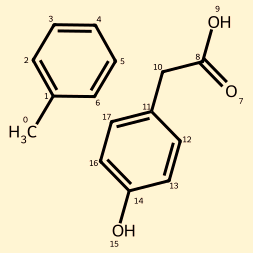 Cc1ccccc1.O=C(O)Cc1ccc(O)cc1